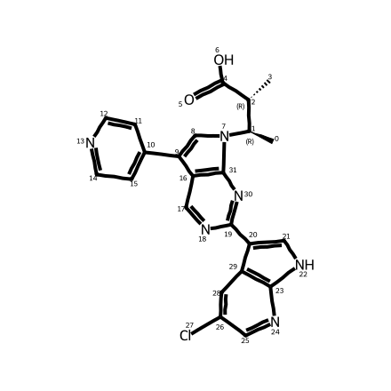 C[C@H]([C@@H](C)C(=O)O)n1cc(-c2ccncc2)c2cnc(-c3c[nH]c4ncc(Cl)cc34)nc21